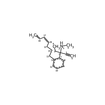 C#CC(CC)(NC)c1ccccc1CCC/C=C\C=C